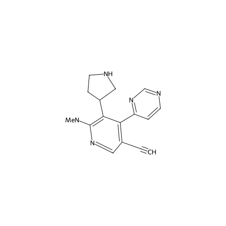 C#Cc1cnc(NC)c(C2CCNC2)c1-c1ccncn1